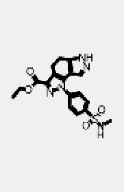 CCOC(=O)c1nn(-c2ccc(S(=O)(=O)NC)cc2)c2c1CCc1[nH]ncc1-2